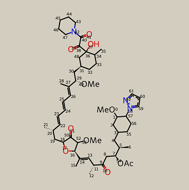 COC1CC(C[C@@H](C)[C@H](CC(=O)[C@H](C)/C=C(\C)[C@H]2OC(C[C@H](C)/C=C/C=C/C=C(\C)[C@H](C[C@@H]3CCC(C)C(O)(C(=O)C(=O)N4CCCCC4)C3)OC)C(=O)C2OC)OC(C)=O)CCC1n1cccn1